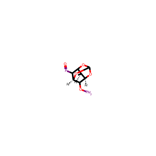 C[C@H]1C2OC3O[C@H](C2P=O)C(OP)[C@@H]1O3